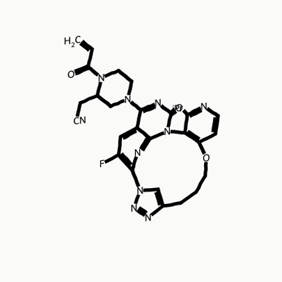 C=CC(=O)N1CCN(c2nc(=O)n3c4nc(c(F)cc24)-n2cc(nn2)CCCOc2ccnc(C(C)C)c2-3)CC1CC#N